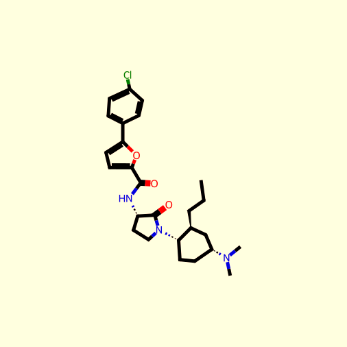 CCC[C@H]1C[C@H](N(C)C)CC[C@@H]1N1CC[C@H](NC(=O)c2ccc(-c3ccc(Cl)cc3)o2)C1=O